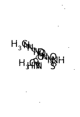 Cc1cc(CC(OC(=O)N2CCC(N3Cc4sccc4NC3=O)CC2)C(=O)N2CCC(N3CCN(C)CC3)CC2)cc2cn[nH]c12